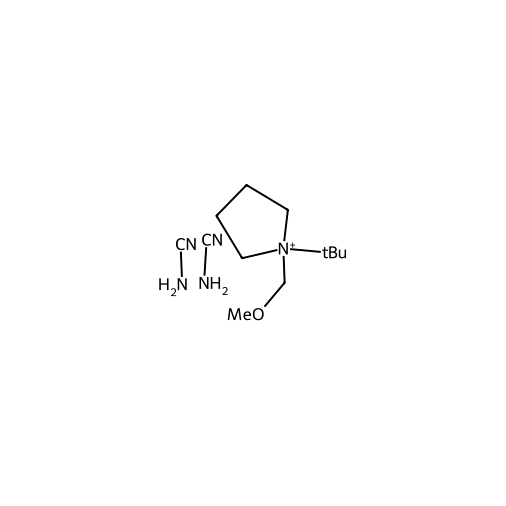 COC[N+]1(C(C)(C)C)CCCC1.N#CN.N#CN